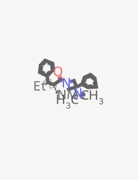 CC[C@@H](c1ccccc1)[C@@H](CNC)C(=O)N1CC(c2ccccc2)(N(C)C)C1